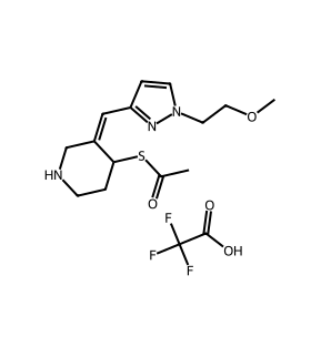 COCCn1ccc(C=C2CNCCC2SC(C)=O)n1.O=C(O)C(F)(F)F